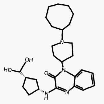 O=c1c(N[C@@H]2CC[C@H](C(O)O)C2)nc2ccccc2n1C1CCN(C2CCCCCCC2)CC1